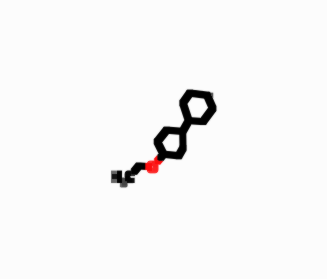 CCOC1CCC(C2CC[CH]CC2)CC1